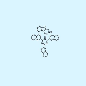 C1=Cc2c(oc3cccc(-c4cc(C5N=C(c6ccc7ccccc7c6)N=C(c6ccc7ccccc7c6)N5)cc5ccccc45)c23)CN1